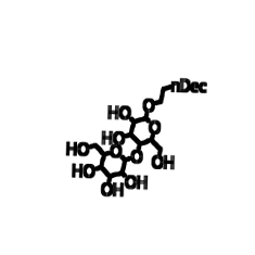 CCCCCCCCCCCCOC1OC(CO)C(OC2OC(CO)C(O)C(O)C2O)C(O)C1O